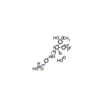 COc1ccc(-c2cnc(N3CCC(NCc4ccc(/C=C/C(=O)NO)cc4)CC3)c(C#N)c2-c2ccc(C(F)(F)F)nc2)cc1O.O=CO